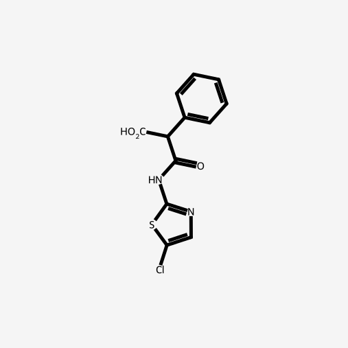 O=C(O)C(C(=O)Nc1ncc(Cl)s1)c1ccccc1